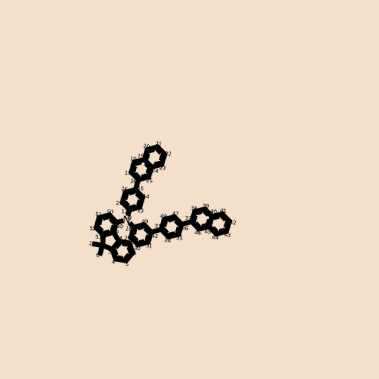 CC1(C)c2ccccc2-c2c(N(c3ccc(-c4ccc5ccccc5c4)cc3)c3cccc(-c4ccc(-c5ccc6ccccc6c5)cc4)c3)cccc21